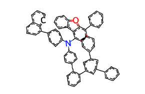 c1ccc(-c2cc(-c3ccccc3)cc(-c3ccccc3-c3ccc(N(c4ccc(-c5cccc6ccccc56)cc4)c4ccc(-c5ccccc5)c5oc6ccccc6c45)cc3)c2)cc1